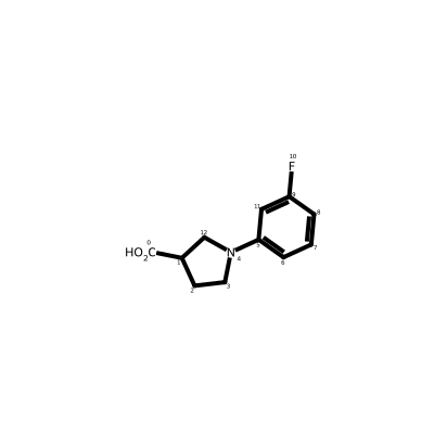 O=C(O)C1CCN(c2cccc(F)c2)C1